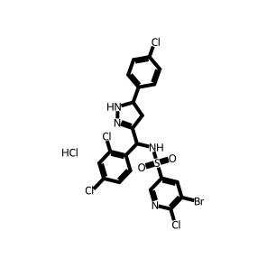 Cl.O=S(=O)(NC(C1=NNC(c2ccc(Cl)cc2)C1)c1ccc(Cl)cc1Cl)c1cnc(Cl)c(Br)c1